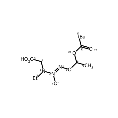 CCN(CC(=O)O)/[N+]([O-])=N/OC(C)OC(=O)C(C)(C)C